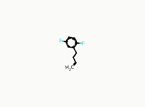 C=CCCc1cc(F)ccc1F